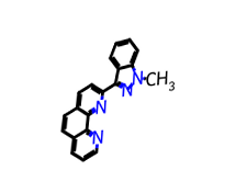 Cn1nc(-c2ccc3ccc4cccnc4c3n2)c2ccccc21